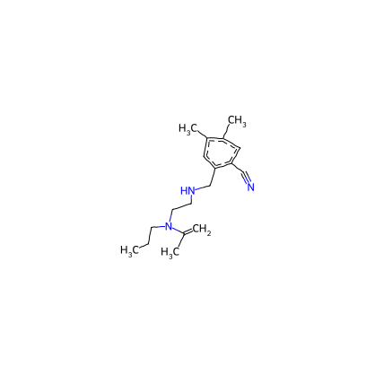 C=C(C)N(CCC)CCNCc1cc(C)c(C)cc1C#N